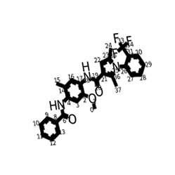 COc1cc(NC(=O)c2ccccc2)c(C)cc1NC(=O)c1cc(C)n(-c2ccccc2C(F)(F)F)c1C